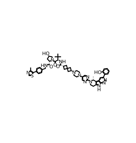 Cc1ncsc1-c1ccc(CNC(=O)[C@@H]2C[C@@H](O)CN2C(=O)[C@@H](NC(=O)[C@H]2CC3(C2)C[C@H](N2CCN(c4cnc(N5CCc6[nH]c7nnc(-c8ccccc8O)cc7c6[C@H]5C)nc4)CC2)C3)C(C)(C)C)cc1